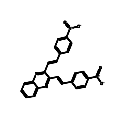 O=[N+]([O-])c1ccc(/C=C/c2nc3ccccc3nc2/C=C/c2ccc([N+](=O)[O-])cc2)cc1